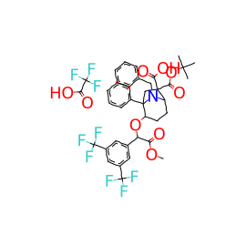 COC(=O)C(OC1CCC2N(Cc3ccccc3)C1(c1ccccc1)CC2(C(=O)O)C(=O)OC(C)(C)C)c1cc(C(F)(F)F)cc(C(F)(F)F)c1.O=C(O)C(F)(F)F